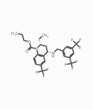 CCCOC(=O)N1c2ccc(C(F)(F)F)cc2[C@@H](NCc2cc(C(F)(F)F)cc(C(F)(F)F)c2)C[C@H]1CC